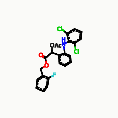 CC(=O)OC(C(=O)OCc1ccccc1F)c1ccccc1Nc1c(Cl)cccc1Cl